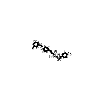 COc1ccc(-c2csc(NC(=O)C=Cc3ccc(SCc4cccc(C)c4)cc3)n2)cc1